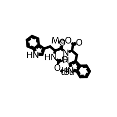 COC(=O)C(Cc1c[nH]c2ccccc12)NC(=O)C(Cc1c[nH]c2ccccc12)NC(=O)OC(C)(C)C